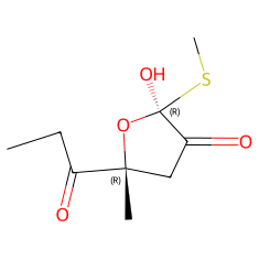 CCC(=O)[C@@]1(C)CC(=O)[C@](O)(SC)O1